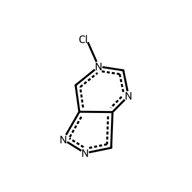 Cln1cnc2cnnc-2c1